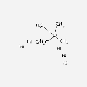 C[N+](C)(C)C.I.I.I.I.I.[Cr]